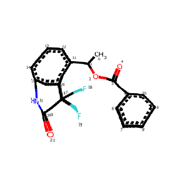 CC(OC(=O)c1ccccc1)c1cccc2c1C(F)(F)C(=O)N2